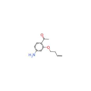 C=CCCOc1cc(N)ccc1C(C)=O